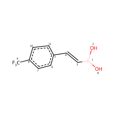 OB(O)/C=C/c1ccc(C(F)(F)F)cc1